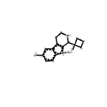 O=C(O)C1(C2NCCc3c2[nH]c2ccc(Cl)cc32)CCC1